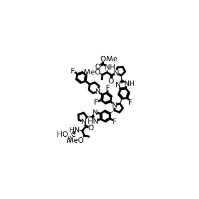 COC(=O)N[C@H](C(=O)N1CCC[C@H]1c1nc2cc([C@H]3CC[C@H](c4cc5nc([C@@H]6CCCN6C(=O)[C@@H](NC(=O)O)[C@@H](C)OC)[nH]c5cc4F)N3c3cc(F)c(N4CCC(c5ccc(F)cc5)CC4)c(F)c3)c(F)cc2[nH]1)[C@@H](C)OC